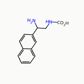 NC(CNC(=O)O)c1ccc2ccccc2c1